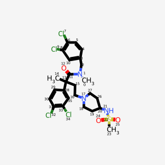 CN(Cc1ccc(Cl)c(Cl)c1)C(=O)C(C)(CCN1CCC(NS(C)(=O)=O)CC1)c1ccc(Cl)c(Cl)c1